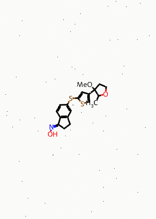 COC1(c2csc(Sc3ccc4c(c3)CC/C4=N\O)c2)CCOC1C